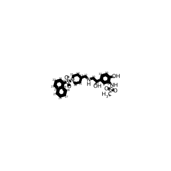 CS(=O)(=O)Nc1cc([C@@H](O)CNCC2CCN(S(=O)(=O)c3cccc4ccccc34)CC2)ccc1O